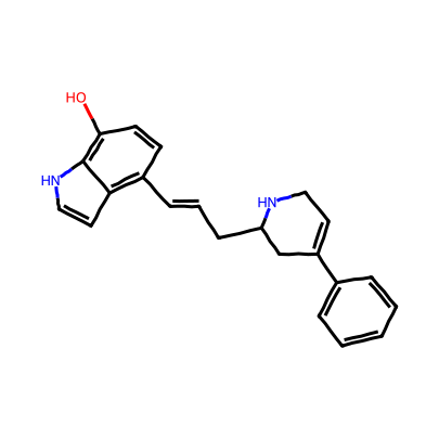 Oc1ccc(C=CCC2CC(c3ccccc3)=CCN2)c2cc[nH]c12